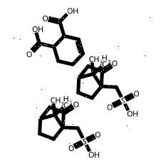 CC1(C)C2CCC1(CS(=O)(=O)O)C(=O)C2.CC1(C)C2CCC1(CS(=O)(=O)O)C(=O)C2.O=C(O)C1C=CCCC1C(=O)O